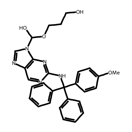 COc1ccc(C(Nc2ncc3ncn(C(O)OCCCO)c3n2)(c2ccccc2)c2ccccc2)cc1